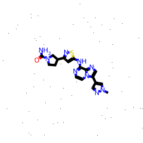 Cn1cc(-c2cnc3c(Nc4cc(C5CCN(C(N)=O)C5)ns4)nccn23)cn1